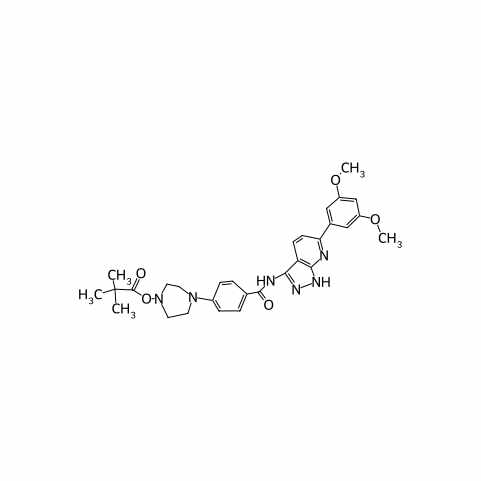 COc1cc(OC)cc(-c2ccc3c(NC(=O)c4ccc(N5CCN(OC(=O)C(C)(C)C)CC5)cc4)n[nH]c3n2)c1